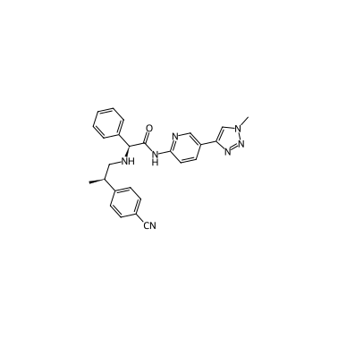 C[C@@H](CN[C@H](C(=O)Nc1ccc(-c2cn(C)nn2)cn1)c1ccccc1)c1ccc(C#N)cc1